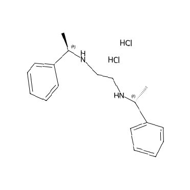 C[C@@H](NCCN[C@H](C)c1ccccc1)c1ccccc1.Cl.Cl